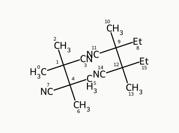 CC(C)(C#N)C(C)(C)C#N.CCC(C)(C#N)C(C)(C#N)CC